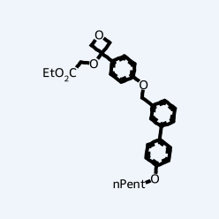 CCCCCOc1ccc(-c2cccc(COc3ccc(C4(OCC(=O)OCC)COC4)cc3)c2)cc1